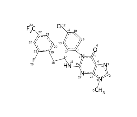 Cn1cnc2c(=O)n(-c3ccc(Cl)cc3)c(NCCc3ccc(C(F)(F)F)cc3F)nc21